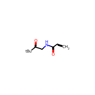 C=CC(=O)NCC(=O)C(C)(C)C